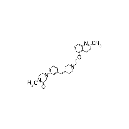 Cc1ccc2c(OCCN3CCC(=Cc4cccc(N5CCN(C)C(=O)C5)c4)CC3)cccc2n1